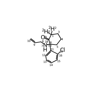 [2H]C1([2H])CCC[C@](NCC=C)(c2ccccc2Cl)C1=O